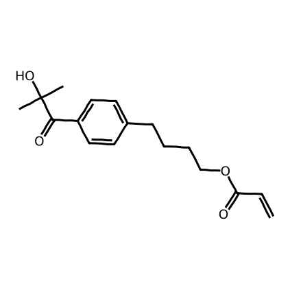 C=CC(=O)OCCCCc1ccc(C(=O)C(C)(C)O)cc1